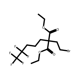 CCOC(=O)C(CCBr)(CCCC(F)(F)C(F)(F)F)C(=O)OCC